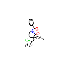 C=C(Cl)C[C@]1(C)CCCN(C(=O)c2ccccc2)C1=O